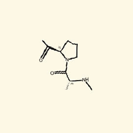 CN[C@H](C)C(=O)N1CCC[C@@H]1C(C)=O